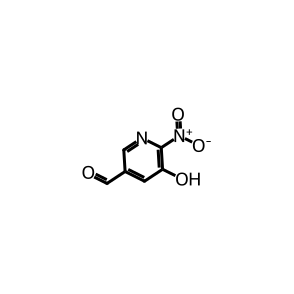 O=Cc1cnc([N+](=O)[O-])c(O)c1